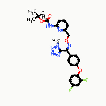 Cn1nnnc1/C(=N\OCc1cccc(NC(=O)OC(C)(C)C)n1)c1ccc(Oc2ccc(F)cc2F)cc1